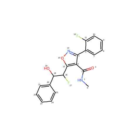 CNC(=O)c1c(-c2ccccc2F)noc1C(F)C(O)c1ccccc1